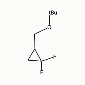 CC(C)(C)OCC1CC1(F)F